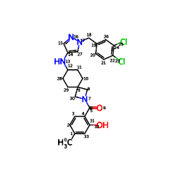 Cc1ccc(C(=O)N2CC3(CCC(Nc4cnn(Cc5ccc(Cl)c(Cl)c5)c4)CC3)C2)c(O)c1